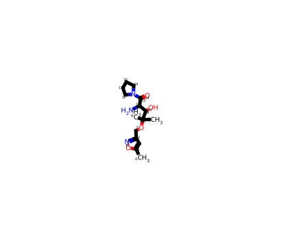 Cc1cc(COC(C)(C)C(O)C(N)C(=O)N2CCCC2)no1